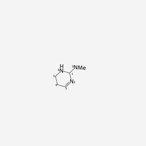 [CH2]NC1N=CCCN1